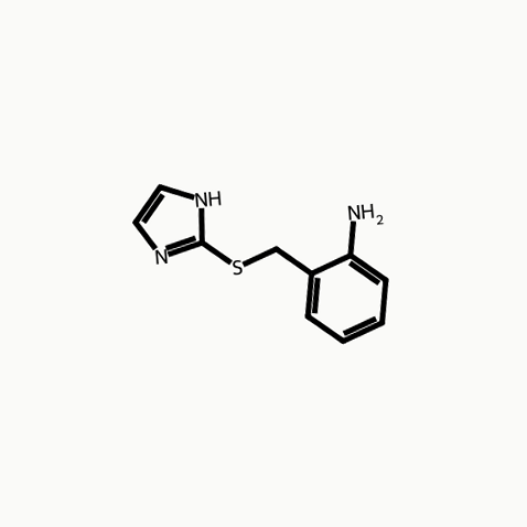 Nc1ccccc1CSc1ncc[nH]1